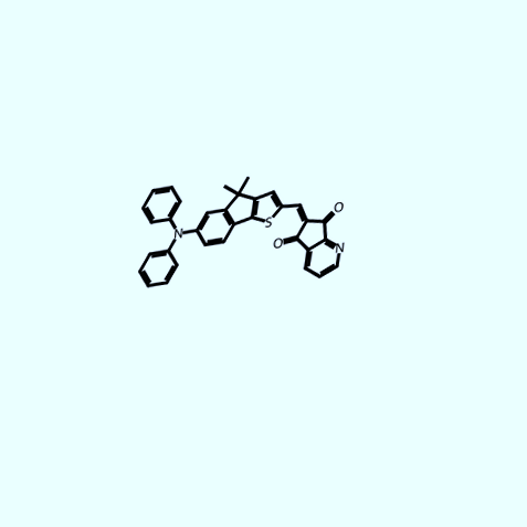 CC1(C)c2cc(N(c3ccccc3)c3ccccc3)ccc2-c2sc(/C=C3\C(=O)c4cccnc4C3=O)cc21